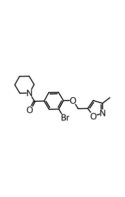 Cc1cc(COc2ccc(C(=O)N3CCCCC3)cc2Br)on1